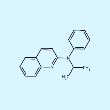 CC(C)N(c1ccccc1)c1ccc2ccccc2n1